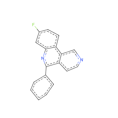 Fc1ccc2c(c1)nc(-c1ccccc1)c1ccncc12